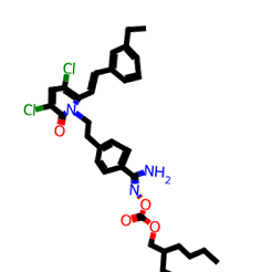 CCCCC(CC)COC(=O)O/N=C(\N)c1ccc(CCn2c(/C=C/c3cccc(CC)c3)c(Cl)cc(Cl)c2=O)cc1